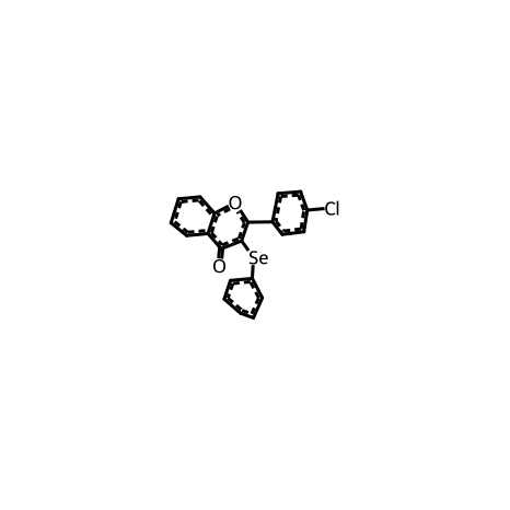 O=c1c([Se]c2ccccc2)c(-c2ccc(Cl)cc2)oc2ccccc12